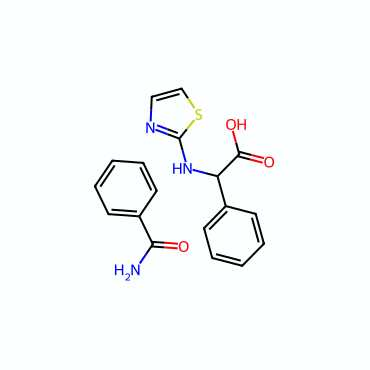 NC(=O)c1ccccc1.O=C(O)C(Nc1nccs1)c1ccccc1